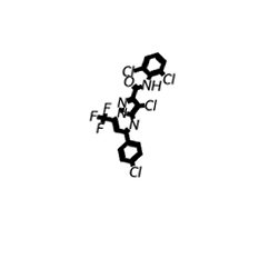 O=C(Nc1c(Cl)cccc1Cl)c1nn2c(C(F)(F)F)cc(-c3ccc(Cl)cc3)nc2c1Cl